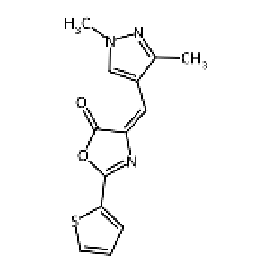 Cc1nn(C)cc1C=C1N=C(c2cccs2)OC1=O